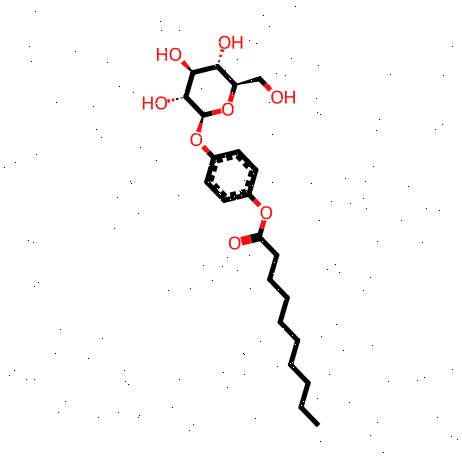 CCCCCCCCCC(=O)Oc1ccc(O[C@@H]2O[C@H](CO)[C@@H](O)[C@H](O)[C@H]2O)cc1